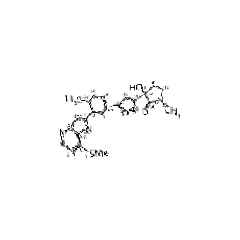 CSc1ncnc2sc(-c3cc(-c4cc([C@]5(O)CCN(C)C5=O)no4)ccc3C)nc12